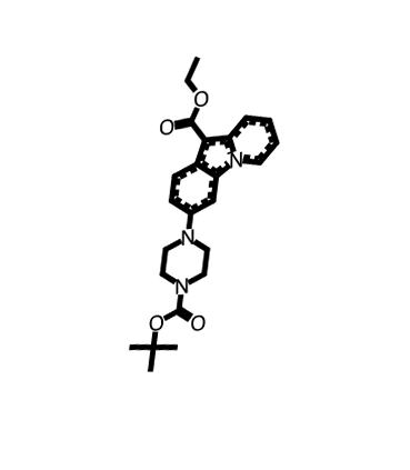 CCOC(=O)c1c2ccc(N3CCN(C(=O)OC(C)(C)C)CC3)cc2n2ccccc12